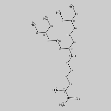 NC(=O)[C@H](N)CCCCNC(COCC(CO)CO)COCC(CO)CO